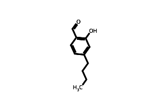 CCCCc1ccc(C=O)c(O)c1